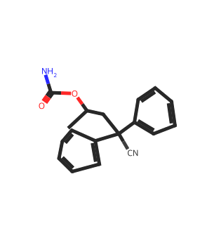 CC(CC(C#N)(c1ccccc1)c1ccccc1)OC(N)=O